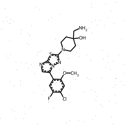 COc1cc(Cl)c(F)cc1-c1cnc2sc(N3CCC(O)(CN)CC3)nn12